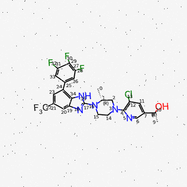 C[C@@H]1CN(c2ncc([C@@H](C)O)cc2Cl)CCN1c1nc2cc(C(F)(F)F)cc(-c3cc(F)c(F)c(F)c3)c2[nH]1